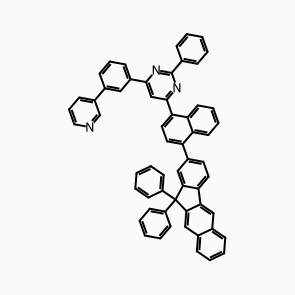 c1ccc(-c2nc(-c3cccc(-c4cccnc4)c3)cc(-c3ccc(-c4ccc5c(c4)C(c4ccccc4)(c4ccccc4)c4cc6ccccc6cc4-5)c4ccccc34)n2)cc1